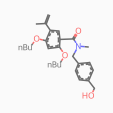 C=C(C)c1cc(C(=O)N(C)Cc2ccc(CO)cc2)c(OCCCC)cc1OCCCC